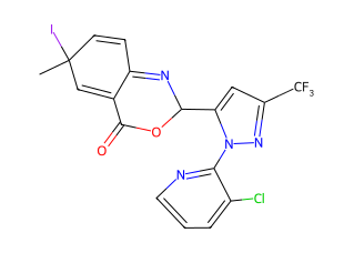 CC1(I)C=CC2=NC(c3cc(C(F)(F)F)nn3-c3ncccc3Cl)OC(=O)C2=C1